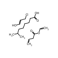 C=CCC(=O)OC=C.CC(C)CCCCCC(=O)O.OC=CCCl